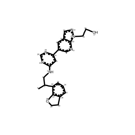 CC(CNc1cc(-c2cnc3c(cnn3CCO)c2)ncn1)c1cccc2c1OCC2